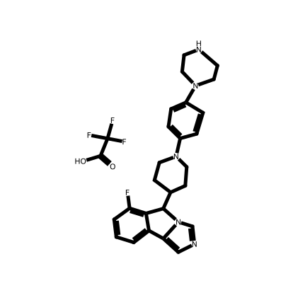 Fc1cccc2c1C(C1CCN(c3ccc(N4CCNCC4)cc3)CC1)n1cncc1-2.O=C(O)C(F)(F)F